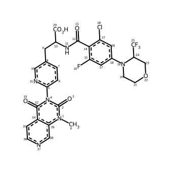 Cn1c(=O)n(-c2ccc(CC(NC(=O)c3c(F)cc(N4CCOCC4C(F)(F)F)cc3Cl)C(=O)O)cn2)c(=O)c2ccncc21